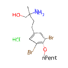 CCCCCOc1c(Br)cc(CCC(C)(N)CO)cc1Br.Cl